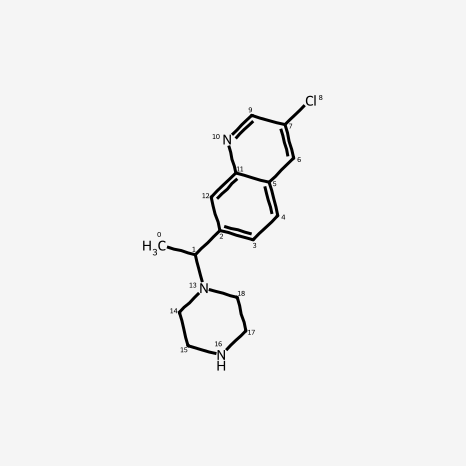 CC(c1ccc2cc(Cl)cnc2c1)N1CCNCC1